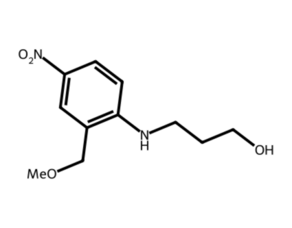 COCc1cc([N+](=O)[O-])ccc1NCCCO